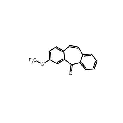 O=c1c2ccccc2ccc2ccc(SC(F)(F)F)cc12